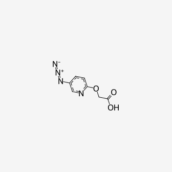 [N-]=[N+]=Nc1ccc(OCC(=O)O)nc1